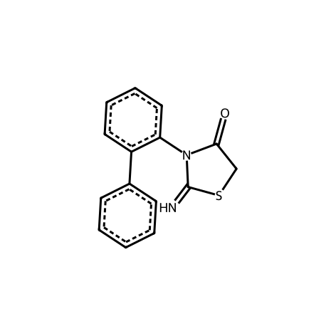 N=C1SCC(=O)N1c1ccccc1-c1ccccc1